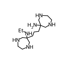 CCNC1(CCCC2(N)CNCCNC2)CNCCNC1